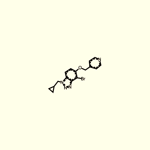 Brc1c(OCc2ccncc2)ccc2c1nnn2CC1CC1